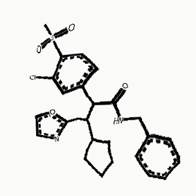 CS(=O)(=O)c1ccc(C(C(=O)NCc2ccccc2)C(c2ncco2)C2CCCC2)cc1Cl